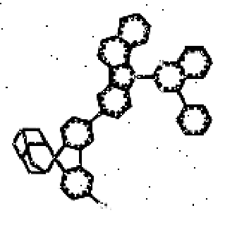 Cc1ccc2c(c1)-c1cc(-c3ccc4c(c3)c3ccc5ccccc5c3n4-c3nc(-c4ccccc4)c4ccccc4n3)ccc1C21C2CC3CC(C2)CC1C3